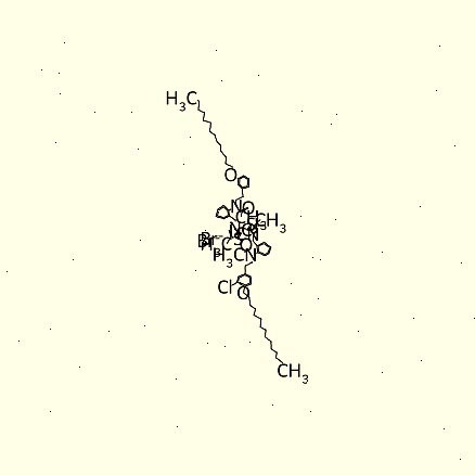 CCCCCCCCCCCCCCOc1cccc(CCN(C(C)=O)c2ccccc2Cn2cc(C)s[c+]2-[c+]2sc(C)cn2Cc2ccccc2N(CCc2ccc(OCCCCCCCCCCCCCC)c(Cl)c2)C(C)=O)c1.[Br-].[Br-]